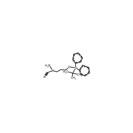 CC(C)(C)[Si](OCCCN(N)C#N)(c1ccccc1)c1ccccc1